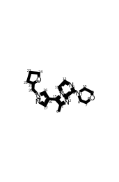 Cc1nc2c(N3CCOCC3)nccn2c1-c1cnn(CC2CCCO2)c1